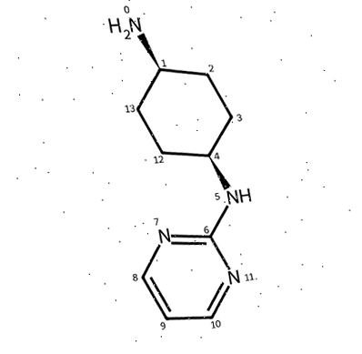 N[C@H]1CC[C@@H](Nc2ncccn2)CC1